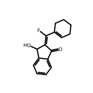 O=C1/C(=C(/F)C2=CCCCC2)C(O)c2ccccc21